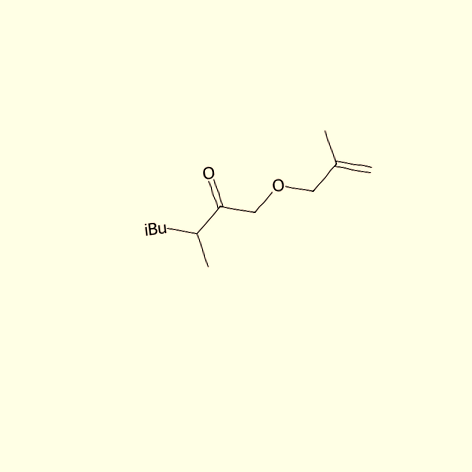 C=C(C)COCC(=O)C(C)C(C)CC